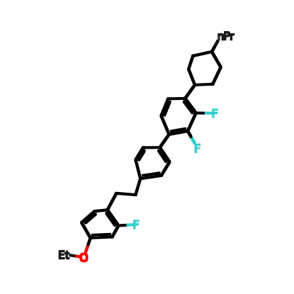 CCCC1CCC(c2ccc(-c3ccc(CCc4ccc(OCC)cc4F)cc3)c(F)c2F)CC1